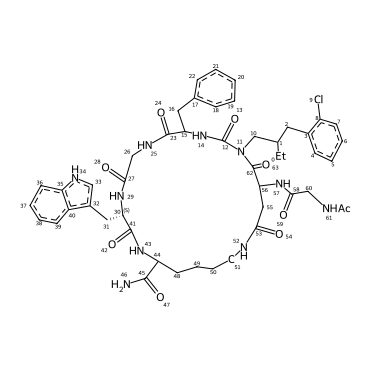 CCC(Cc1ccccc1Cl)CN1C(=O)NC(Cc2ccccc2)C(=O)NCC(=O)N[C@@H](Cc2c[nH]c3ccccc23)C(=O)NC(C(N)=O)CCCCNC(=O)CC(NC(=O)CNC(C)=O)C1=O